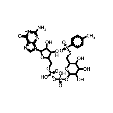 Cc1ccc(S(=O)(=O)SCC2OC(OP(=O)(O)OP(=O)(O)OCC3OC(n4cnc5c(=O)[nH]c(N)nc54)C(O)C3O)C(O)C(O)C2O)cc1